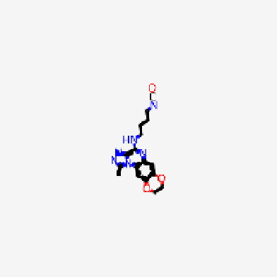 Cc1nnc2c(NCCCCN=C=O)nc3cc4c(cc3n12)OCCO4